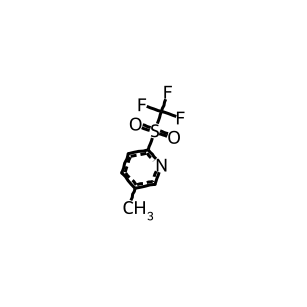 Cc1ccc(S(=O)(=O)C(F)(F)F)nc1